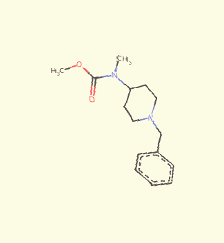 COC(=O)N(C)C1CCN(Cc2ccccc2)CC1